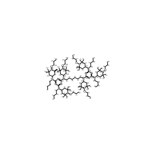 C=C1CC(N(CCCC)c2nc(N(CCCC)C3CC(C)(C)N(OCCC)C(C)(C)C3)nc(N(CCCCCCN(c3nc(N(CCCC)C4CC(C)(C)N(OCCC)C(C)(C)C4)nc(N(CCCC)C4CC(C)(C)N(OCCC)C(C)(C)C4)n3)C3CC(C)(C)N(OCCC)C(C)(C)C3)C3CC(C)(C)N(OCCC)C(C)(C)C3)n2)CC(C)(C)N1OCCC